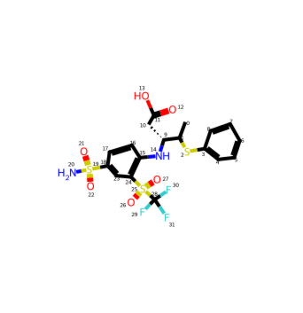 CC(Sc1ccccc1)[C@@H](CC(=O)O)Nc1ccc(S(N)(=O)=O)cc1S(=O)(=O)C(F)(F)F